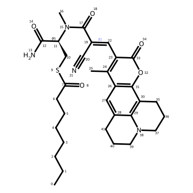 CCCCCCCC(=O)SC[C@@H](C(N)=O)N(C)C(=O)/C(C#N)=C/c1c(C)c2cc3c4c(c2oc1=O)CCCN4CCC3